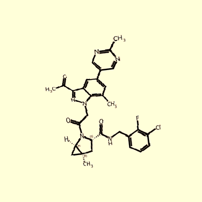 CC(=O)c1nn(CC(=O)N2[C@H](C(=O)NCc3cccc(Cl)c3F)C[C@@]3(C)C[C@@H]23)c2c(C)cc(-c3cnc(C)nc3)cc12